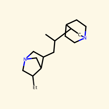 CCC1CN2CC(CC(C)C3CN4CCC3CC4)C1C2